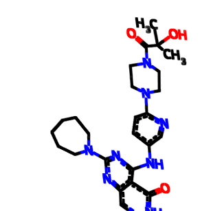 CC(C)(O)C(=O)N1CCN(c2ccc(Nc3nc(N4CCCCCC4)nc4cn[nH]c(=O)c34)cn2)CC1